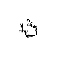 CCN(CC)CCCCNC(=O)CNCc1cc(C=NC2CC2)ccn1.O=C(CNCc1cc(C=NC2CC2)ccn1)N1CCC[C@@H]1CN1CCCC1